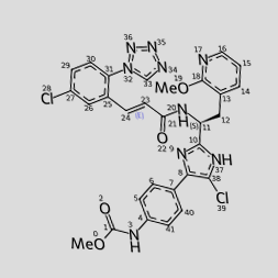 COC(=O)Nc1ccc(-c2nc([C@H](Cc3cccnc3OC)NC(=O)/C=C/c3cc(Cl)ccc3-n3cnnn3)[nH]c2Cl)cc1